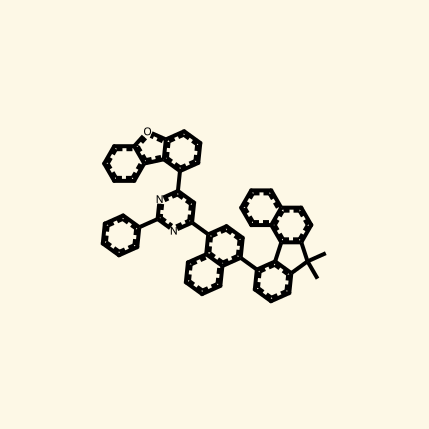 CC1(C)c2cccc(-c3ccc(-c4cc(-c5cccc6oc7ccccc7c56)nc(-c5ccccc5)n4)c4ccccc34)c2-c2c1ccc1ccccc21